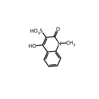 Cn1c(=O)c(S(=O)(=O)O)c(O)c2ccccc21